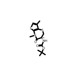 Cc1csc2c1SC[C@H](NC(=O)OC(C)(C)C)C(=O)N2C